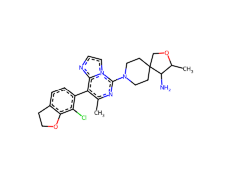 Cc1nc(N2CCC3(CC2)COC(C)C3N)n2ccnc2c1-c1ccc2c(c1Cl)OCC2